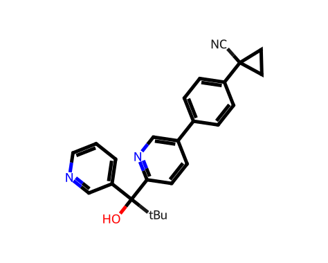 CC(C)(C)C(O)(c1cccnc1)c1ccc(-c2ccc(C3(C#N)CC3)cc2)cn1